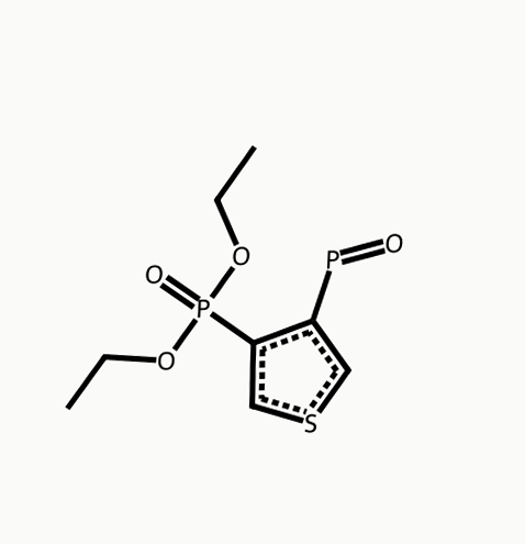 CCOP(=O)(OCC)c1cscc1P=O